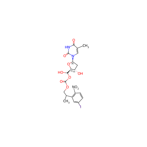 Cc1cn([C@H]2C[C@H](O)[C@@H](C(O)OC(=O)OCC(C)c3cc(I)ccc3[N+](=O)[O-])O2)c(=O)[nH]c1=O